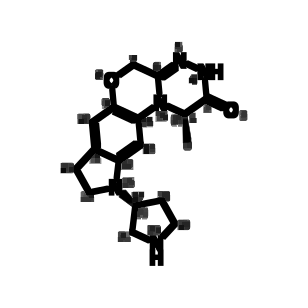 C[C@@H]1C(=O)NN=C2COc3cc4c(cc3N21)N([C@H]1CCNC1)CC4